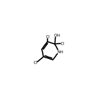 OC1(Cl)NC=C(Cl)C=C1Cl